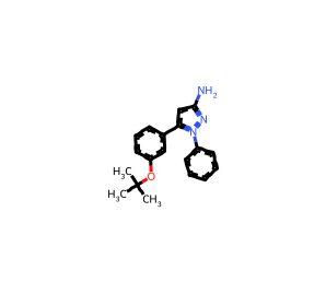 CC(C)(C)Oc1cccc(-c2cc(N)nn2-c2ccccc2)c1